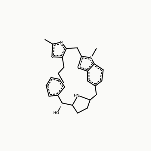 CCCc1sc(C)nc1Cc1nc2cc(CC3CCC([C@H](O)c4ccccc4)N3)ccc2n1C